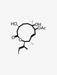 CC(=O)OC1/C=C/[C@H](C)[C@@H](/C(C)=C/I)OC(=O)C[C@H](O)CC[C@@]1(C)O